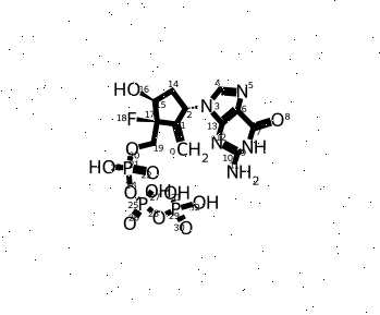 C=C1[C@@H](n2cnc3c(=O)[nH]c(N)nc32)C[C@H](O)[C@@]1(F)COP(=O)(O)OP(=O)(O)OP(=O)(O)O